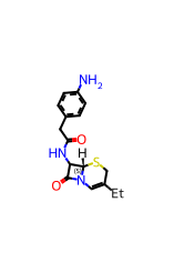 CCC1=CN2C(=O)C(NC(=O)Cc3ccc(N)cc3)[C@@H]2SC1